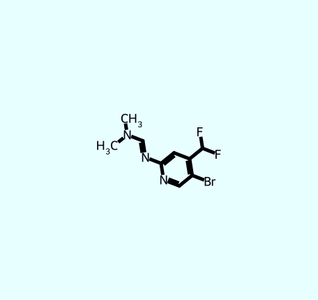 CN(C)C=Nc1cc(C(F)F)c(Br)cn1